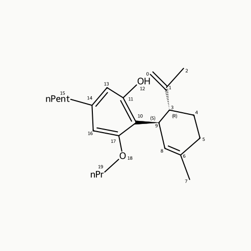 C=C(C)[C@@H]1CCC(C)=C[C@H]1c1c(O)cc(CCCCC)cc1OCCC